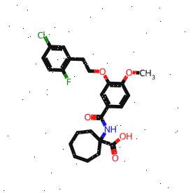 COc1ccc(C(=O)NC2(C(=O)O)CCCCCC2)cc1OCCc1cc(Cl)ccc1F